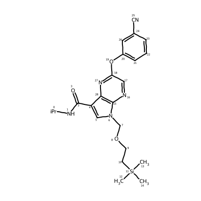 CC(C)NC(=O)c1cn(COCC[Si](C)(C)C)c2ncc(Oc3cccc(C#N)c3)nc12